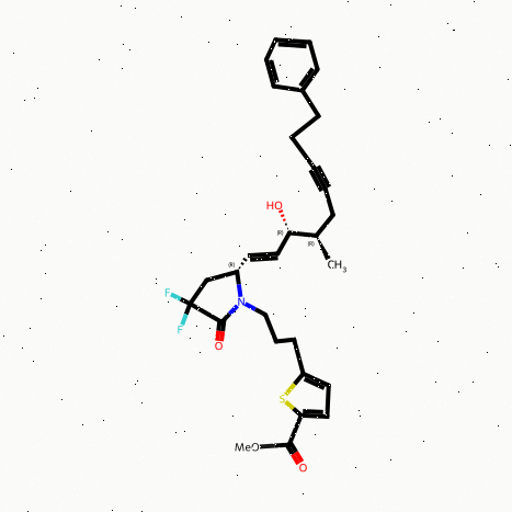 COC(=O)c1ccc(CCCN2C(=O)C(F)(F)C[C@@H]2C=C[C@H](O)[C@H](C)CC#CCCc2ccccc2)s1